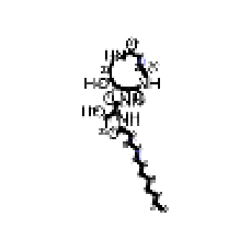 CCCCCCC/C=C/C=C/C(=O)N[C@@H](C(=O)N[C@@H]1C[C@@H](O)CCNC(=O)/C=C/[C@H](C)NC1=O)[C@@H](C)O